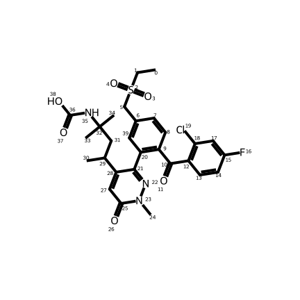 CCS(=O)(=O)Cc1ccc(C(=O)c2ccc(F)cc2Cl)c(-c2nn(C)c(=O)cc2C(C)CC(C)(C)NC(=O)O)c1